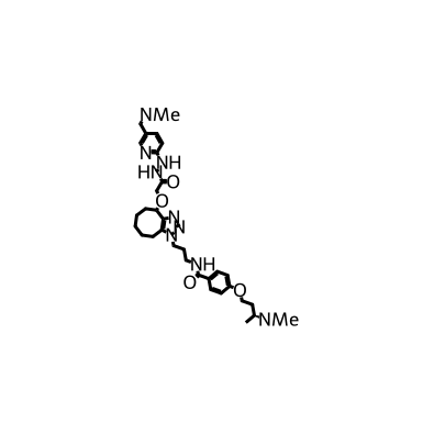 CNCc1ccc(NNC(=O)COC2CCCCCc3c2nnn3CCCNC(=O)c2ccc(OCC[C@H](C)NC)cc2)nc1